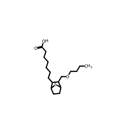 CCCCOCC1C2CCC(S2)C1CCCCCCC(=O)O